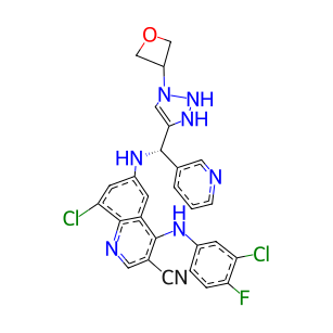 N#Cc1cnc2c(Cl)cc(N[C@H](C3=CN(C4COC4)NN3)c3cccnc3)cc2c1Nc1ccc(F)c(Cl)c1